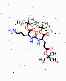 CC(C)(C)OC(=O)CC[C@H](NC(=O)N[C@@H](CCCN)C(=O)OC(C)(C)C)C(=O)OC(C)(C)C